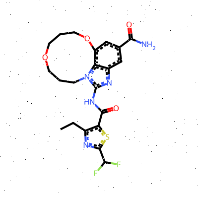 CCc1nc(C(F)F)sc1C(=O)Nc1nc2cc(C(N)=O)cc3c2n1CCCOCCCO3